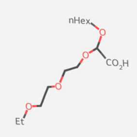 CCCCCCOC(OCCOCCOCC)C(=O)O